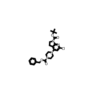 CC(C)(C)OC(=O)N1CCc2c(N3CCN(C(=O)OCc4ccccc4)CC3)cc(Cl)nc21